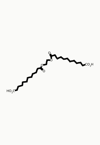 O=C(O)CCCCCCCCCCC(=O)OCCOC(=O)CCCCCCCCCCC(=O)O